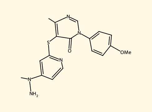 COc1ccc(-n2cnc(C)c(Sc3cc(N(C)N)ccn3)c2=O)cc1